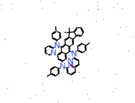 Cc1ccc(N(c2ccc3c(N(c4ccc(C)cc4)c4ccccn4)c4cc5c(cc4c(N(c4ccc(C)cc4)c4ccccn4)c3c2)-c2ccccc2C5(C)C)c2ccccn2)cc1